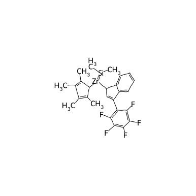 CC1=C(C)[CH]([Zr]([CH]2C=C(c3c(F)c(F)c(F)c(F)c3F)c3ccccc32)=[Si](C)C)C(C)=C1C